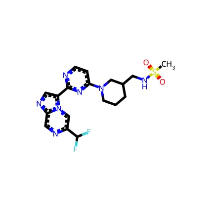 CS(=O)(=O)NCC1CCCN(c2ccnc(-c3cnc4cnc(C(F)F)cn34)n2)C1